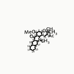 COc1cc2c(c3c1c(=O)c1cc4ccccc4cc1n3C)C=C(C(C)=O)C(C)(C)O2